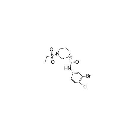 CCS(=O)(=O)N1CCC[C@H](C(=O)Nc2ccc(Cl)c(Br)c2)C1